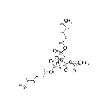 CCCCCCOC(=O)CC(O)(CC(=O)OCCCCCC)C(=O)OC(C)=O